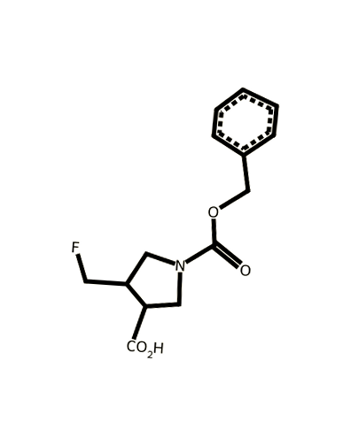 O=C(O)C1CN(C(=O)OCc2ccccc2)CC1CF